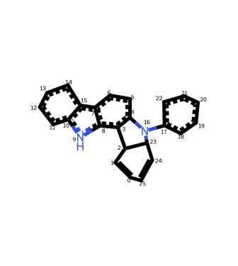 C1=CC2c3c(ccc4c3[nH]c3ccccc34)N(c3ccccc3)C2C=C1